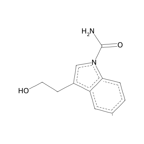 NC(=O)n1cc(CCO)c2c[c]ccc21